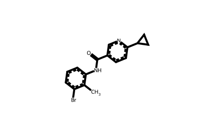 Cc1c(Br)cccc1NC(=O)c1ccc(C2CC2)nc1